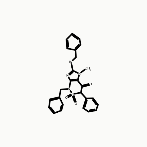 Cn1c(NCc2ccccc2)nc2c1C(=O)C(c1ccccc1)S(=O)(=O)N2Cc1ccccc1